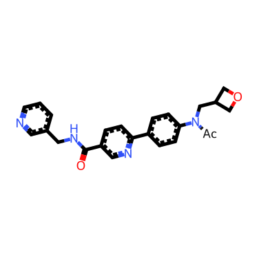 CC(=O)N(CC1COC1)c1ccc(-c2ccc(C(=O)NCc3cccnc3)cn2)cc1